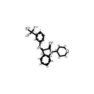 O=C1C(=Nc2cccc(C(F)(F)F)c2)c2ccccc2N1C1CCOCC1